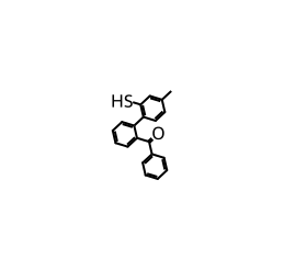 Cc1ccc(-c2ccccc2C(=O)c2ccccc2)c(S)c1